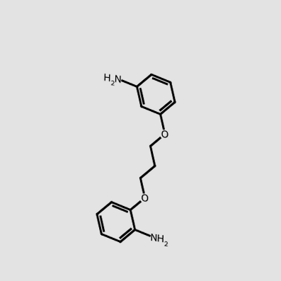 Nc1cccc(OCCCOc2ccccc2N)c1